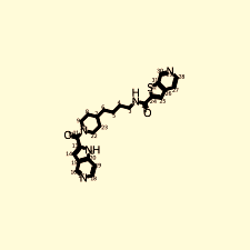 O=C(NCCCCC1CCN(C(=O)c2cc3cnccc3[nH]2)CC1)c1cc2ccncc2s1